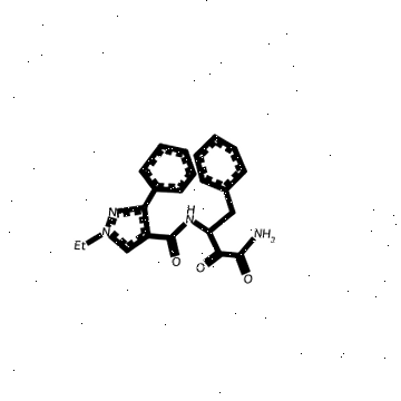 CCn1cc(C(=O)NC(Cc2ccccc2)C(=O)C(N)=O)c(-c2ccccc2)n1